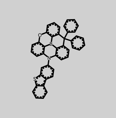 c1ccc(C2(c3ccccc3)c3cccc4c3B3c5c(cccc5N(c5ccc6c(c5)sc5ccccc56)c5cccc2c53)O4)cc1